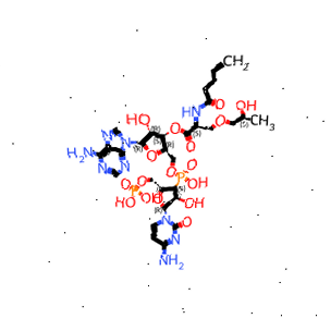 C=CCCC(=O)N[C@@H](COC[C@H](C)O)C(=O)O[C@H]1[C@@H](O)[C@H](n2cnc3c(N)ncnc32)O[C@@H]1COP(=O)(O)[C@H]1[C@@H](O)[C@H](n2ccc(N)nc2=O)O[C@@H]1COP(=O)(O)O